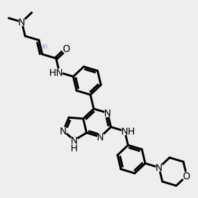 CN(C)C/C=C/C(=O)Nc1cccc(-c2nc(Nc3cccc(N4CCOCC4)c3)nc3[nH]ncc23)c1